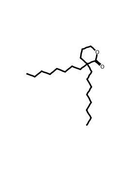 CCCCCCCCC1(CCCCCCCC)CCCOC1=O